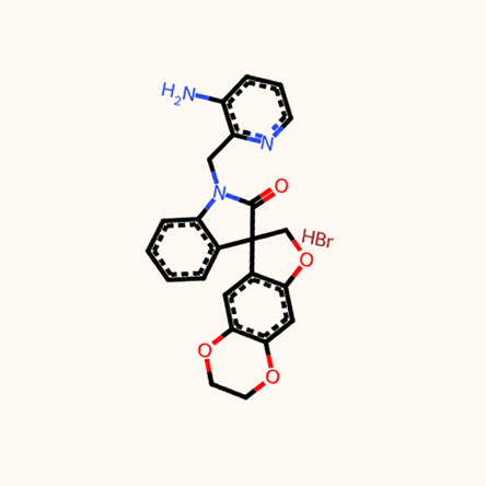 Br.Nc1cccnc1CN1C(=O)C2(COc3cc4c(cc32)OCCO4)c2ccccc21